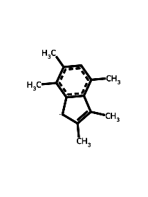 CC1=C(C)c2c(C)cc(C)c(C)c2[CH]1